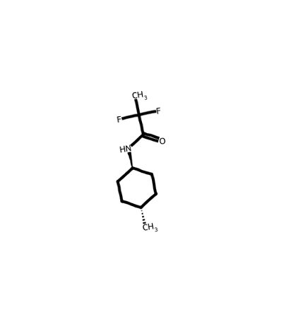 CC(F)(F)C(=O)N[C@H]1CC[C@H](C)CC1